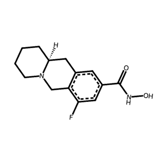 O=C(NO)c1cc(F)c2c(c1)C[C@@H]1CCCCN1C2